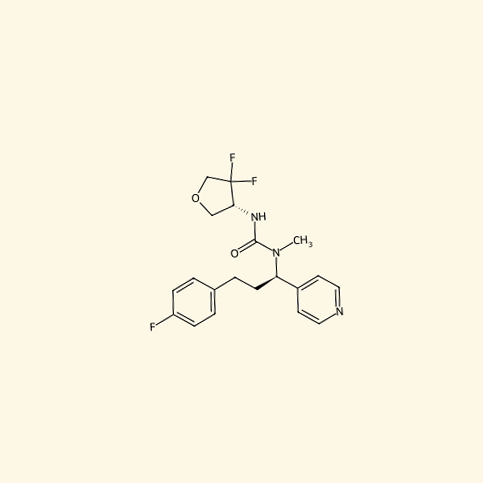 CN(C(=O)N[C@@H]1COCC1(F)F)[C@H](CCc1ccc(F)cc1)c1ccncc1